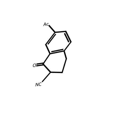 CC(=O)c1ccc2c(c1)C(=O)C(C#N)CC2